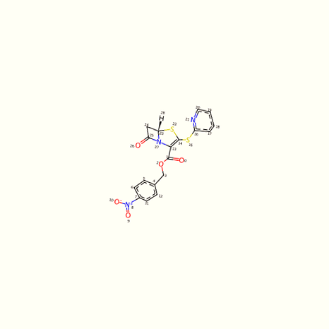 O=C(OCc1ccc([N+](=O)[O-])cc1)C1=C(Sc2ccccn2)S[C@H]2CC(=O)N12